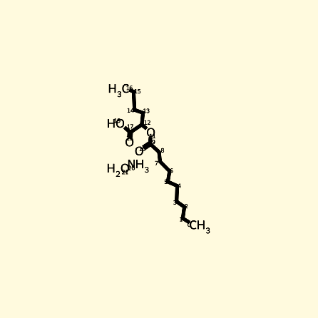 CCCCCCCCCC(=O)OC(CCCC)C(=O)O.N.O